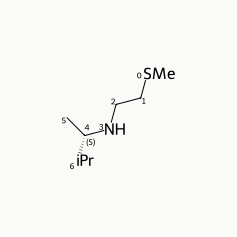 CSCCN[C@@H](C)C(C)C